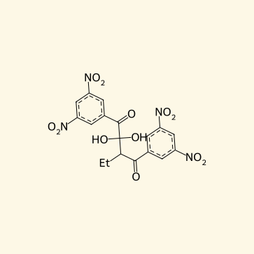 CCC(C(=O)c1cc([N+](=O)[O-])cc([N+](=O)[O-])c1)C(O)(O)C(=O)c1cc([N+](=O)[O-])cc([N+](=O)[O-])c1